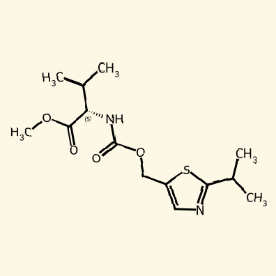 COC(=O)[C@@H](NC(=O)OCc1cnc(C(C)C)s1)C(C)C